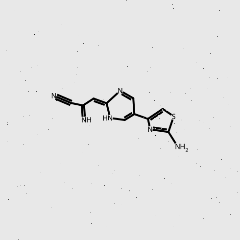 N#CC(=N)/C=C1/N=CC(c2csc(N)n2)=CN1